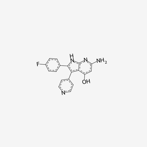 Nc1cc(O)c2c(-c3ccncc3)c(-c3ccc(F)cc3)[nH]c2n1